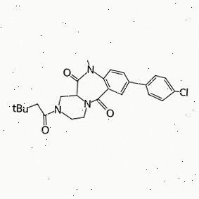 CN1C(=O)C2CN(C(=O)CC(C)(C)C)CCN2C(=O)c2cc(-c3ccc(Cl)cc3)ccc21